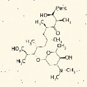 CCC[C@H](C)[C@H](O)[C@@H](C)C(=O)[C@H](C)C[C@H](C)C[C@@H](C)[C@H](O[C@H]1CC(N(C)C)[C@H](O)C(C)O1)[C@@H](C)C(=O)O